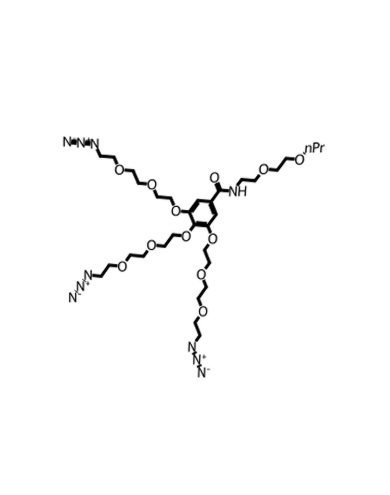 CCCOCCOCCNC(=O)c1cc(OCCOCCOCCN=[N+]=[N-])c(OCCOCCOCCN=[N+]=[N-])c(OCCOCCOCCN=[N+]=[N-])c1